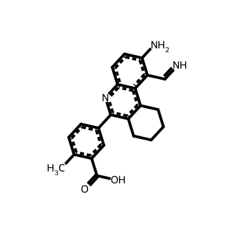 Cc1ccc(-c2nc3ccc(N)c(C=N)c3c3c2CCCC3)cc1C(=O)O